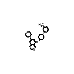 Cc1nccc([C@H]2CC[C@H](Oc3cc(N4CCOCC4)cc4ncncc34)CC2)n1